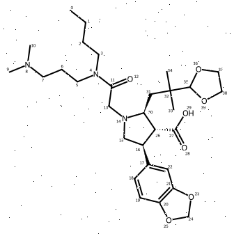 CCCCN(CCCN(C)C)C(=O)CN1C[C@H](c2ccc3c(c2)OCO3)[C@@H](C(=O)O)[C@@H]1CC(C)(C)C1OCCO1